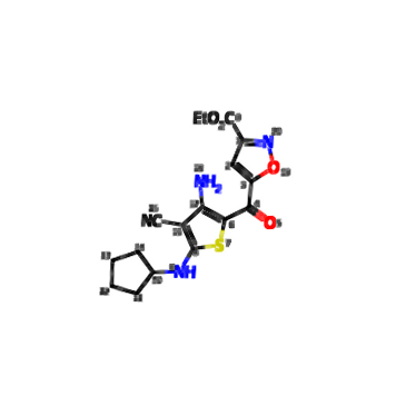 CCOC(=O)c1cc(C(=O)c2sc(NC3CCCC3)c(C#N)c2N)on1